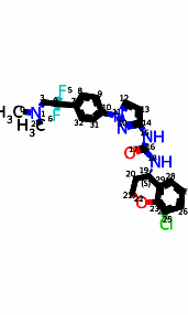 CN(C)CC(F)(F)c1ccc(-n2ccc(NC(=O)N[C@H]3CCOc4c(Cl)cccc43)n2)cc1